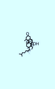 CC(C)CCC[C@@H](C)[C@H]1CC[C@H]2[C@@H]3[C@H](O)C=C4CC(=O)CC(C)[C@]4(C)[C@H]3CC[C@]12C